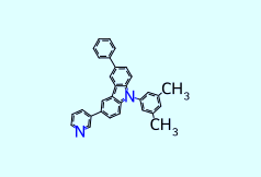 Cc1cc(C)cc(-n2c3ccc(-c4ccccc4)cc3c3cc(-c4cccnc4)ccc32)c1